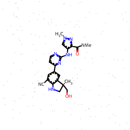 CNC(=O)c1nn(C)cc1Nc1nccc(-c2cc(C#N)c3c(c2)[C@@](C)(CO)CN3)n1